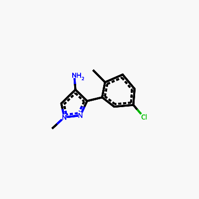 Cc1ccc(Cl)cc1-c1nn(C)cc1N